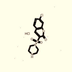 Cl.O=c1oc2cc(Cl)ccc2cc1S(=O)(=O)N1CCNCC1